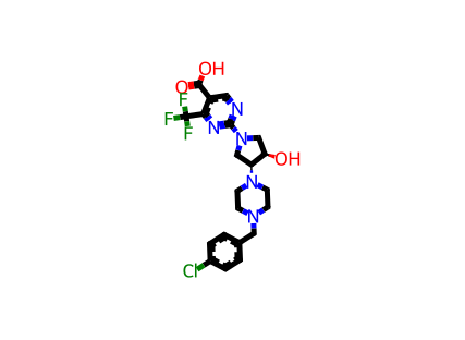 O=C(O)c1cnc(N2C[C@@H](O)[C@H](N3CCN(Cc4ccc(Cl)cc4)CC3)C2)nc1C(F)(F)F